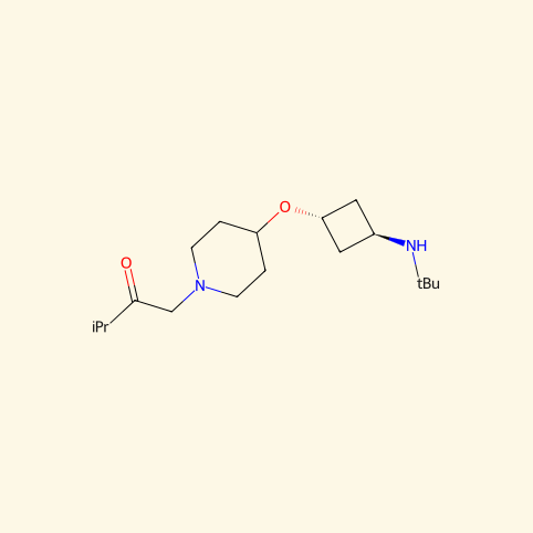 CC(C)C(=O)CN1CCC(O[C@H]2C[C@H](NC(C)(C)C)C2)CC1